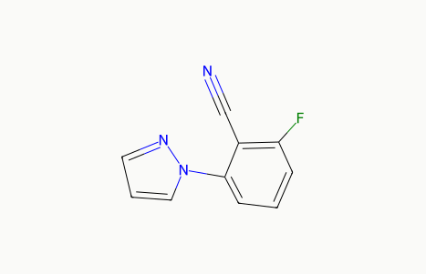 N#Cc1c(F)cccc1-n1cccn1